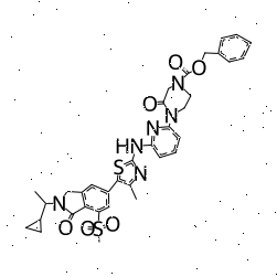 Cc1nc(Nc2cccc(N3CCN(C(=O)OCc4ccccc4)CC3=O)n2)sc1-c1cc2c(c(S(C)(=O)=O)c1)C(=O)N(C(C)C1CC1)C2